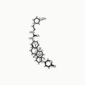 C[C@]12CC[C@H](NC(=O)NCCN3CC[C@H](O)C3)C=C1CC[C@@H]1[C@@H]2CC[C@]2(C)[C@@H](c3ccc(=O)oc3)CC[C@]12O